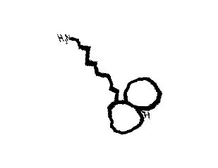 NCCCCCCCCCC1CCCCCCCC[C@@H]2CCCCCCCCC12